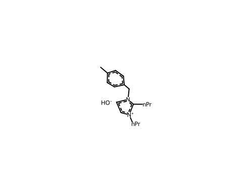 CCCc1n(Cc2ccc(C)cc2)cc[n+]1CCC.[OH-]